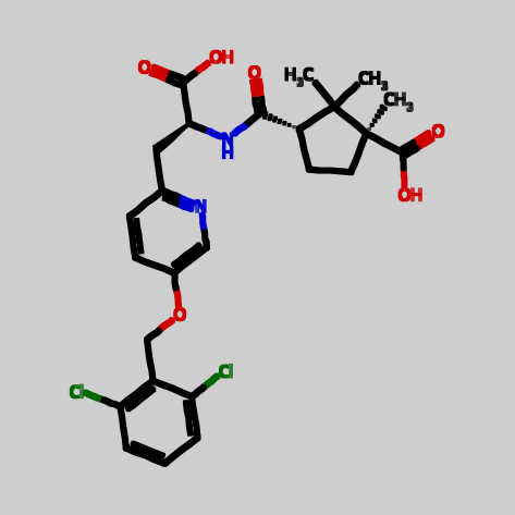 CC1(C)[C@@H](C(=O)N[C@@H](Cc2ccc(OCc3c(Cl)cccc3Cl)cn2)C(=O)O)CC[C@]1(C)C(=O)O